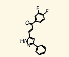 O=C(C=Cc1cc(-c2ccccc2)n[nH]1)c1ccc(F)c(F)c1